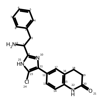 NC(Cc1ccccc1)c1nc(-c2ccc3c(c2)CCC(=O)N3)c(Cl)[nH]1